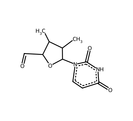 CC1C(C=O)OC(n2ccc(=O)[nH]c2=O)C1C